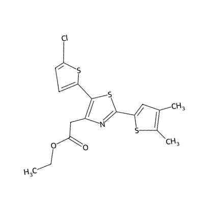 CCOC(=O)Cc1nc(-c2cc(C)c(C)s2)sc1-c1ccc(Cl)s1